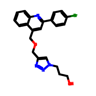 OCCCn1cc(COCc2cc(-c3ccc(Br)cc3)nc3ccccc23)nn1